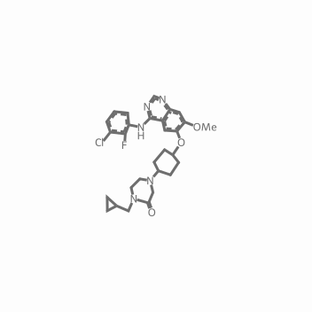 COc1cc2ncnc(Nc3cccc(Cl)c3F)c2cc1OC1CCC(N2CCN(CC3CC3)C(=O)C2)CC1